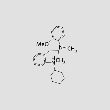 COc1ccccc1N(C)C(C)Cc1ccccc1NC1CCCCC1